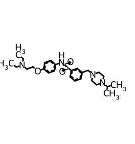 CCN(CC)CCOc1ccc(NS(=O)(=O)c2cccc(CN3CCN(C(C)C)CC3)c2)cc1